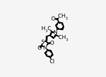 CC(=O)c1cccc(-n2c(C)cc(C=C3SC(=O)N(c4ccc(Cl)cc4)C3=O)c2C)c1